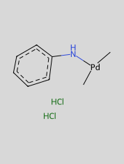 Cl.Cl.[CH3][Pd]([CH3])[NH]c1ccccc1